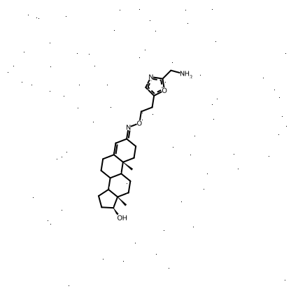 C[C@]12CCC(=NOCCc3cnc(CN)o3)C=C1CCC1C2CC[C@@]2(C)C1CC[C@@H]2O